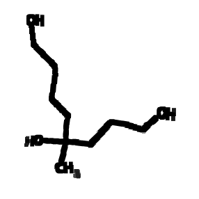 CC(O)(CCCO)CCCCO